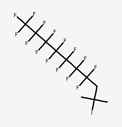 CC(C)(I)CC(F)(F)C(F)(F)C(F)(F)C(F)(F)C(F)(F)C(F)(F)C(F)(F)F